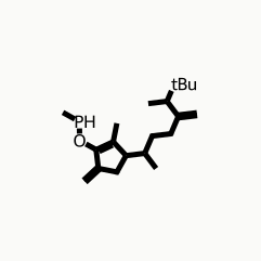 C=C1CC(C(C)CCC(=C)C(C)C(C)(C)C)C(C)=C1OPC